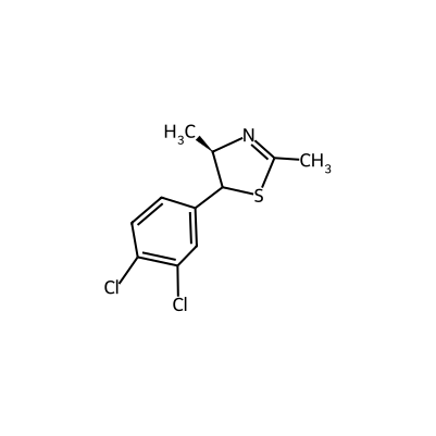 CC1=N[C@H](C)C(c2ccc(Cl)c(Cl)c2)S1